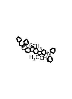 CC1(C)c2cc(CC(Cc3ccccc3)c3ccccc3)ccc2-c2cc3c(cc21)-c1ccc(N(c2ccccc2)c2ccccc2)cc1C3(C)C